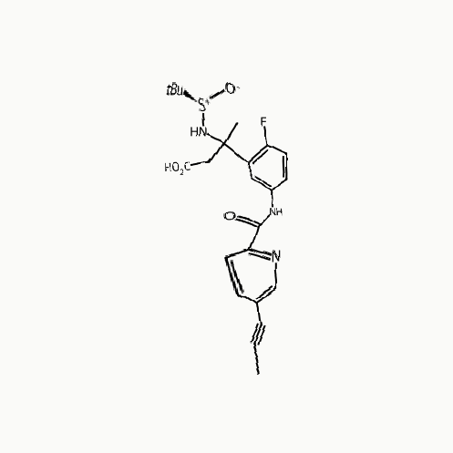 CC#Cc1ccc(C(=O)Nc2ccc(F)c(C(C)(CC(=O)O)N[S@+]([O-])C(C)(C)C)c2)nc1